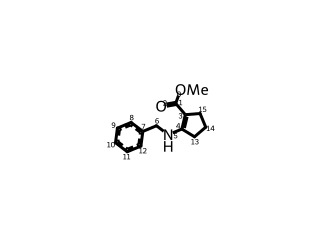 COC(=O)C1=C(NCc2ccccc2)CCC1